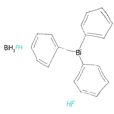 F.F.[BiH3].c1cc[c]([Bi]([c]2ccccc2)[c]2ccccc2)cc1